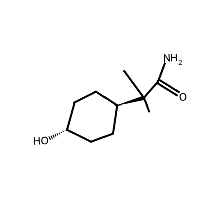 CC(C)(C(N)=O)[C@H]1CC[C@H](O)CC1